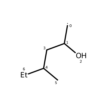 [CH2]C(O)CC(C)CC